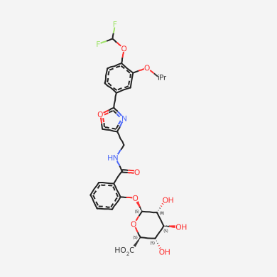 CC(C)Oc1cc(-c2nc(CNC(=O)c3ccccc3O[C@@H]3O[C@H](C(=O)O)[C@@H](O)[C@H](O)[C@H]3O)co2)ccc1OC(F)F